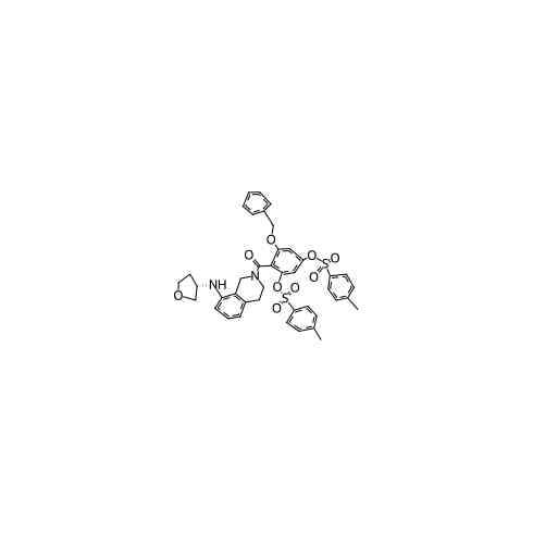 Cc1ccc(S(=O)(=O)Oc2cc(OCc3ccccc3)c(C(=O)N3CCc4cccc(N[C@H]5CCOC5)c4C3)c(OS(=O)(=O)c3ccc(C)cc3)c2)cc1